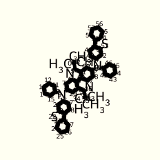 CC(C)(C)c1nc2cc(N(c3ccccc3)c3ccc4c(c3)sc3ccccc34)cc3c(C(C)(C)C)nc4cc(N(c5ccccc5)c5ccc6c(c5)sc5ccccc56)cc1c4c23